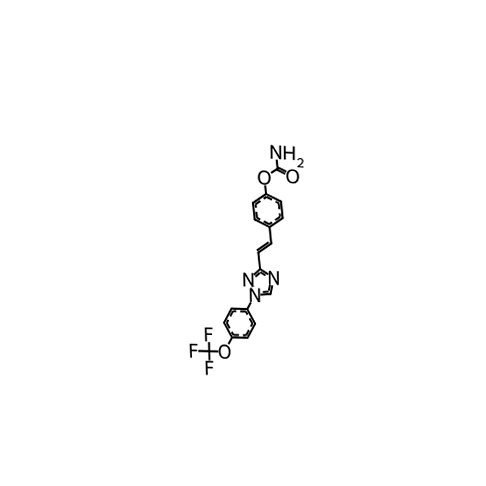 NC(=O)Oc1ccc(C=Cc2ncn(-c3ccc(OC(F)(F)F)cc3)n2)cc1